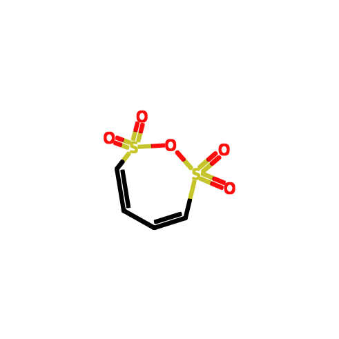 O=S1(=O)C=CC=CS(=O)(=O)O1